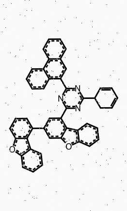 C1=CCC(c2nc(-c3cc4ccccc4c4ccccc34)nc(-c3cc(-c4cccc5oc6ccccc6c45)cc4oc5ccccc5c34)n2)C=C1